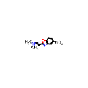 CN(C)/C=C/c1nc2cc([N+](=O)[O-])ccc2o1